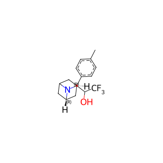 Cc1ccc([C@@H]2CC3C[C@@H](C2)N3CC(O)C(F)(F)F)cc1